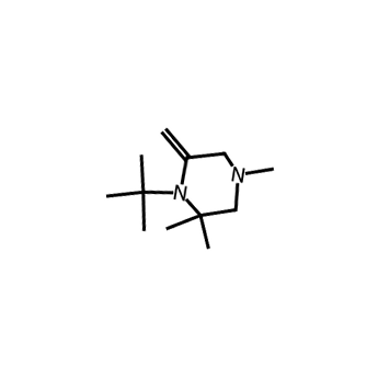 C=C1CN(C)CC(C)(C)N1C(C)(C)C